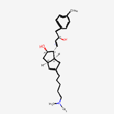 COc1ccc(C[C@@H](O)/C=C/[C@@H]2[C@H]3CC(CCCCCN(C)C)=C[C@H]3C[C@H]2O)cc1